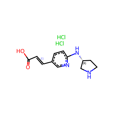 Cl.Cl.O=C(O)/C=C/c1ccc(N[C@@H]2CCNC2)nc1